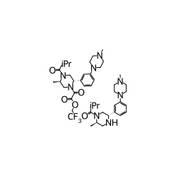 CC(C)C(=O)N1C[C@H](c2cccc(N3CCN(C)CC3)c2)N(C(=O)C(=O)OCC(F)(F)F)C[C@H]1C.CC(C)C(=O)N1C[C@H](c2cccc(N3CCN(C)CC3)c2)NC[C@H]1C